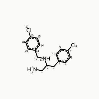 NCC(Cc1ccc(Cl)cc1)NCc1ccc(Cl)cc1